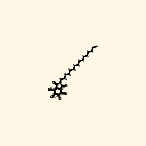 CCCCCCCCCCCCCCCCN1C(=O)c2c(Br)c(Cl)c(Cl)c(Br)c2C1=O